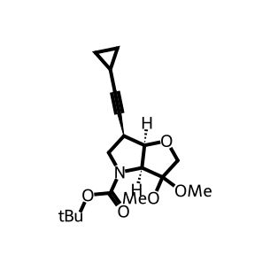 COC1(OC)CO[C@@H]2[C@H](C#CC3CC3)CN(C(=O)OC(C)(C)C)[C@@H]21